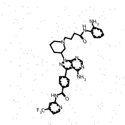 Nc1ccccc1NC(=O)CCCN1CCCC(n2nc(-c3ccc(C(=O)Nc4cc(C(F)(F)F)ccn4)cc3)c3c(N)ncnc32)C1